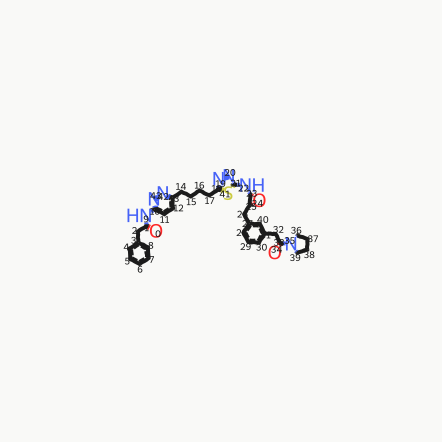 O=C(Cc1ccccc1)Nc1ccc(CCCCc2nnc(NC3OC3Cc3cccc(CC(=O)N4CCCC4)c3)s2)nn1